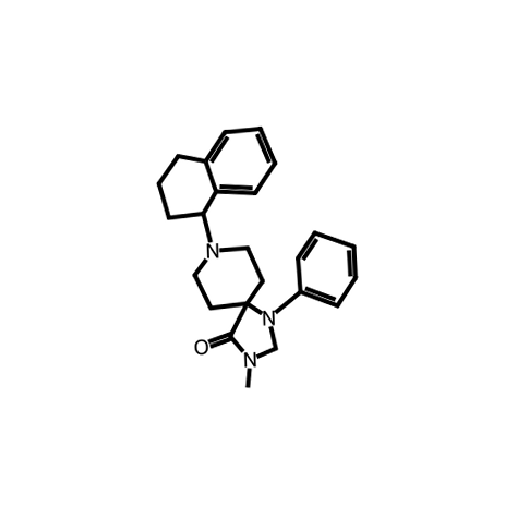 CN1CN(c2ccccc2)C2(CCN(C3CCCc4ccccc43)CC2)C1=O